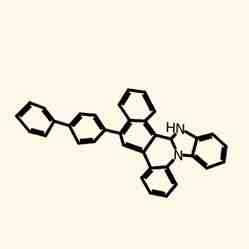 c1ccc(-c2ccc(-c3cc4c(c5ccccc35)C3Nc5ccccc5N3c3ccccc3-4)cc2)cc1